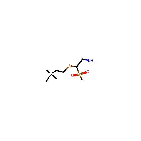 C[Si](C)(C)CCSC(CN)S(C)(=O)=O